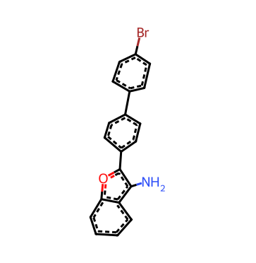 Nc1c(-c2ccc(-c3ccc(Br)cc3)cc2)oc2ccccc12